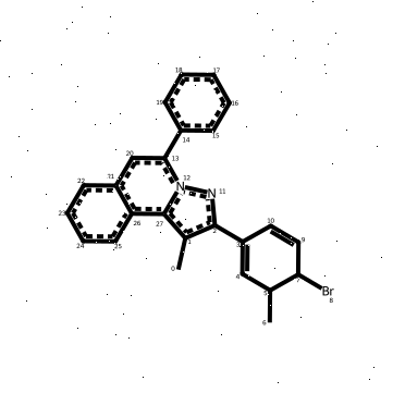 Cc1c(C2=CC(C)C(Br)C=C2)nn2c(-c3ccccc3)cc3ccccc3c12